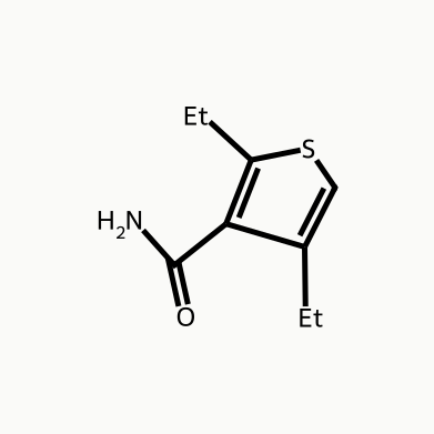 CCc1csc(CC)c1C(N)=O